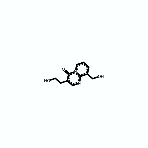 O=c1c(CCO)cnc2c(CO)cccn12